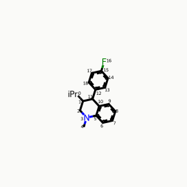 CC(C)C1CN(C)c2ccccc2C1c1ccc(F)cc1